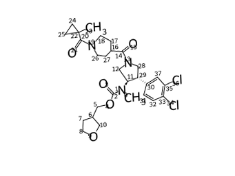 CN(C(=O)OCC1CCOC1)[C@H]1CN(C(=O)C2CCN(C(=O)C3(C)CC3)CC2)C[C@@H]1c1ccc(Cl)c(Cl)c1